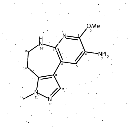 COc1nc2c(cc1N)-c1cnn(C)c1CCN2